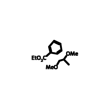 CCOC(=O)c1ccccc1.COCC(C)OC